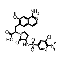 COc1cc2c(N)nccc2cc1CC(C(=O)O)N1CCC(NS(=O)(=O)c2cnc(N(C)C)c(Cl)c2)C1=O